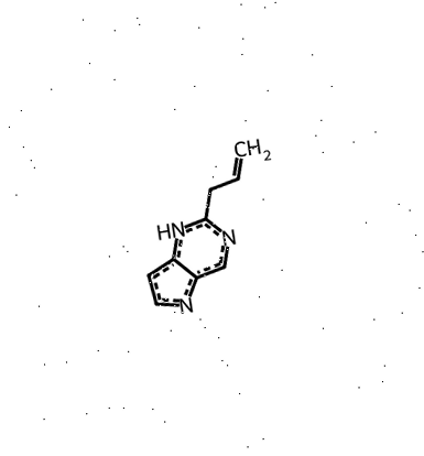 C=CCc1ncc2nccc-2[nH]1